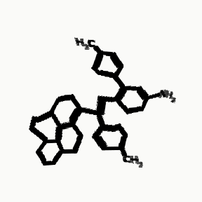 Cc1ccc(C(=Cc2ccc(N)cc2-c2ccc(C)cc2)c2ccc3ccc4cccc5ccc2c3c45)cc1